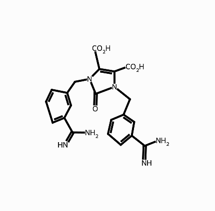 N=C(N)c1cccc(Cn2c(C(=O)O)c(C(=O)O)n(Cc3cccc(C(=N)N)c3)c2=O)c1